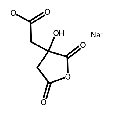 O=C([O-])CC1(O)CC(=O)OC1=O.[Na+]